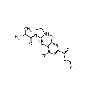 CCOC(=O)c1cc(Cl)c(/N=C2\NCCN2C(=O)C(C)C)c(Cl)c1